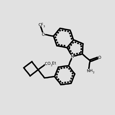 CCOC(=O)C1(Cc2cccc(-n3c(C(N)=O)cc4ccc(OC(F)(F)F)cc43)c2)CCC1